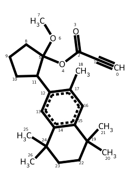 C#CC(=O)OC1(OC)CCCC1c1cc2c(cc1C)C(C)(C)CCC2(C)C